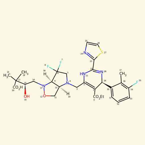 CCOC(=O)C1=C(CN2CC(F)(F)[C@H]3[C@@H]2CON3C[C@@H](O)C(C)(C)C(=O)O)NC(c2nccs2)=N[C@H]1c1cccc(F)c1C